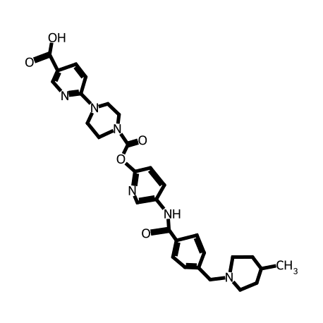 CC1CCN(Cc2ccc(C(=O)Nc3ccc(OC(=O)N4CCN(c5ccc(C(=O)O)cn5)CC4)nc3)cc2)CC1